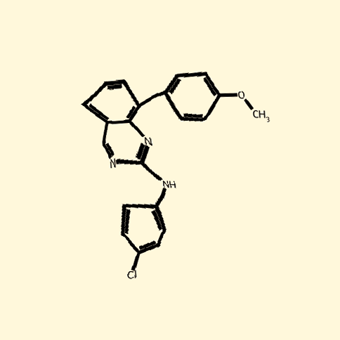 COc1ccc(-c2cccc3cnc(Nc4ccc(Cl)cc4)nc23)cc1